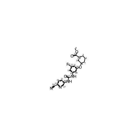 COC(=O)N1CCCC(Oc2cc(F)cc(NC(=O)Nc3ccc(C#N)nc3)c2)C1